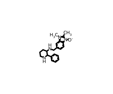 Cc1n(C)c2cc(CNC3CCCNC3c3ccccc3)ccc2[n+]1[O-]